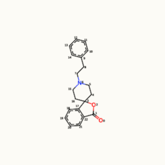 O=C1OC2(CCN(CCc3ccccc3)CC2)c2ccccc21